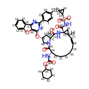 CC(C)(C)c1ccc(-c2nc(O[C@@H]3C[C@H]4C(=O)N[C@]5(C(=O)NS(=O)(=O)C6CC6)C[C@H]5/C=C\CCCCC[C@H](NC(=O)OC5CCCCC5)C(=O)N4C3)c3oc4ccccc4c3n2)cc1